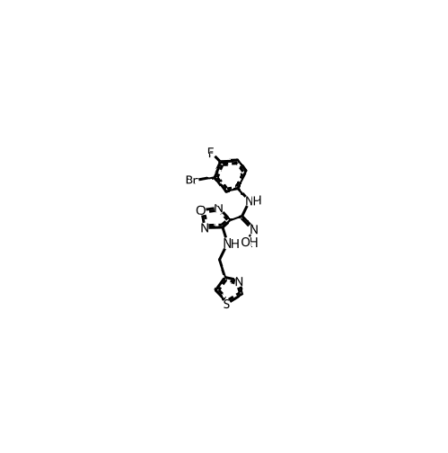 O/N=C(/Nc1ccc(F)c(Br)c1)c1nonc1NCc1cscn1